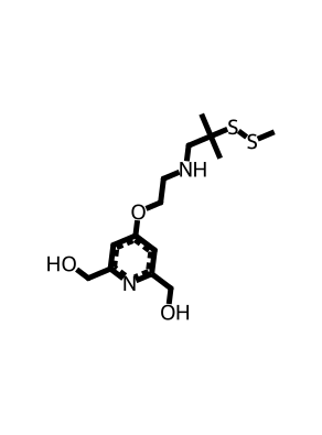 CSSC(C)(C)CNCCOc1cc(CO)nc(CO)c1